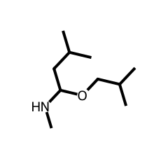 CNC(CC(C)C)OCC(C)C